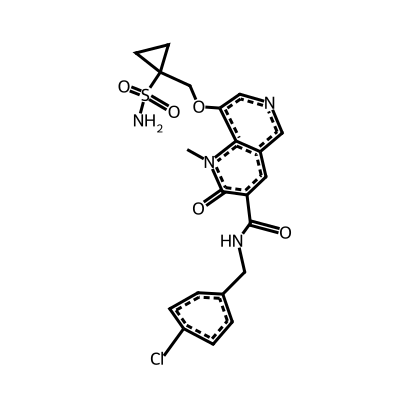 Cn1c(=O)c(C(=O)NCc2ccc(Cl)cc2)cc2cncc(OCC3(S(N)(=O)=O)CC3)c21